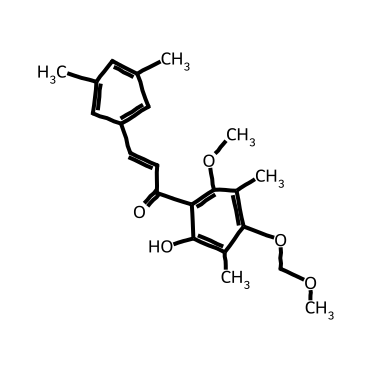 COCOc1c(C)c(O)c(C(=O)C=Cc2cc(C)cc(C)c2)c(OC)c1C